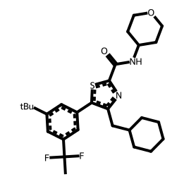 CC(C)(C)c1cc(-c2sc(C(=O)NC3CCOCC3)nc2CC2CCCCC2)cc(C(C)(F)F)c1